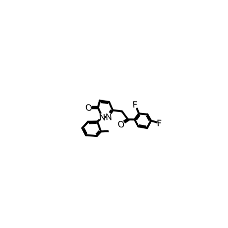 Cc1ccccc1-n1nc(CC(=O)c2ccc(F)cc2F)ccc1=O